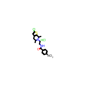 CC1Cc2cc(Cl)sc2C(C)N1CCNC(=O)c1ccc([N+](=O)[O-])cc1.Cl